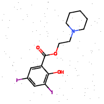 O=C(OCCN1CCCCC1)c1cc(I)cc(I)c1O